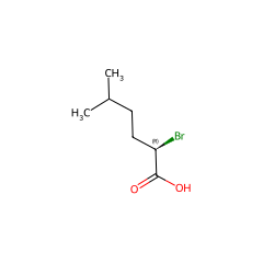 CC(C)CC[C@@H](Br)C(=O)O